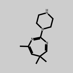 CC1=CC(C)(C)C=NC(N2CCNCC2)=N1